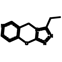 CCc1nnc2n1Cc1cnccc1O2